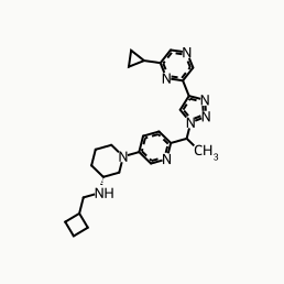 CC(c1ccc(N2CCC[C@@H](NCC3CCC3)C2)cn1)n1cc(-c2cncc(C3CC3)n2)nn1